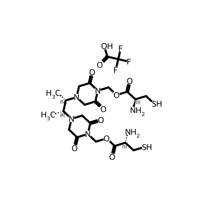 C[C@H]([C@H](C)N1CC(=O)N(COC(=O)[C@H](N)CS)C(=O)C1)N1CC(=O)N(COC(=O)[C@H](N)CS)C(=O)C1.O=C(O)C(F)(F)F